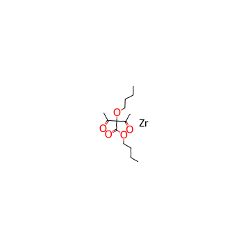 CCCCOC(=O)C(OCCCC)(C(C)=O)C(C)=O.[Zr]